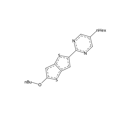 CCCCCCc1cnc(-c2cc3sc(OCCCC)cc3s2)nc1